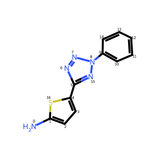 Nc1ccc(-c2nnn(-c3ccccc3)n2)s1